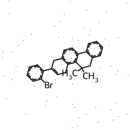 CC1(C)Cc2ccccc2-c2ccc3c(c21)CC=C(c1ccccc1Br)C3